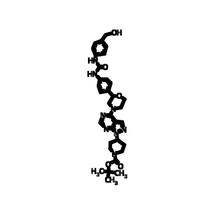 CC(C)(C)OC(=O)N1CCC(n2ncc3c(N4CCOC(c5ccc(NC(=O)Nc6ccc(CO)cc6)cc5)C4)ncnc32)CC1